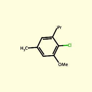 COc1cc(C)cc(C(C)C)c1Cl